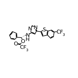 O=C(O[C@@H](CNc1cc(-c2cc3ccc(C(F)(F)F)cc3s2)ncn1)c1ccccc1)C(F)(F)F